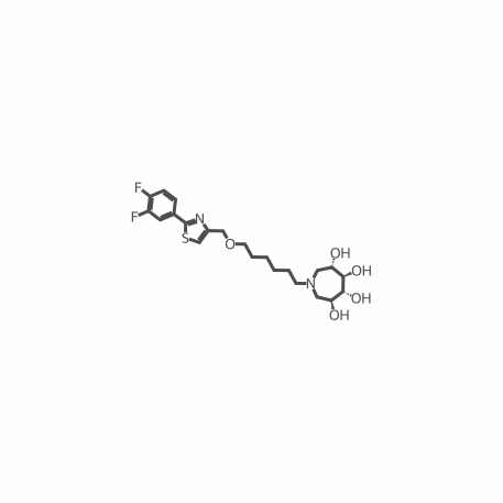 O[C@H]1[C@H](O)[C@@H](O)CN(CCCCCCOCc2csc(-c3ccc(F)c(F)c3)n2)C[C@@H]1O